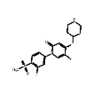 CS(=O)(=O)c1ccc(-n2cc(Cl)c(OC3CCNCC3)cc2=O)cc1F